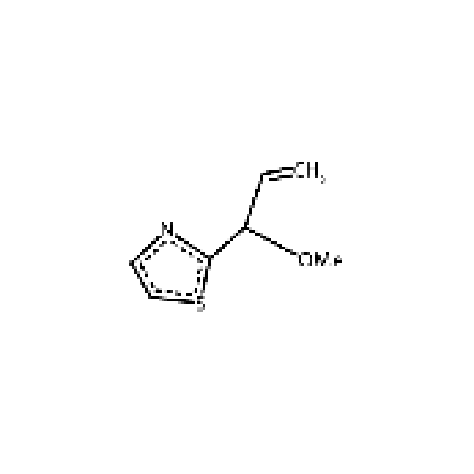 C=CC(OC)c1nccs1